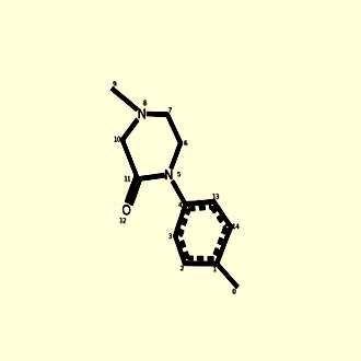 Cc1ccc(N2CCN(C)CC2=O)cc1